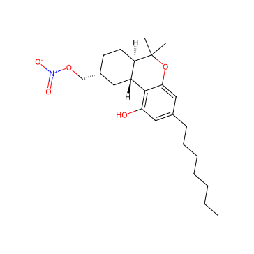 CCCCCCCc1cc(O)c2c(c1)OC(C)(C)[C@@H]1CC[C@@H](CO[N+](=O)[O-])C[C@@H]21